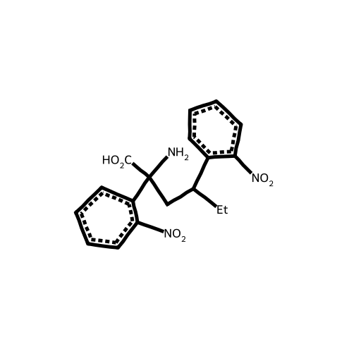 CCC(CC(N)(C(=O)O)c1ccccc1[N+](=O)[O-])c1ccccc1[N+](=O)[O-]